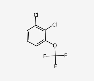 FC(F)(F)Oc1cccc(Cl)c1Cl